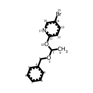 CC(OCc1ccccc1)Oc1ccc(Br)cn1